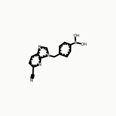 N#Cc1ccc2ncn(Cc3ccc(B(O)O)cc3)c2n1